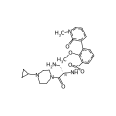 COc1c(-c2cccn(C)c2=O)cccc1S(=O)(=O)N[C@@H](CN)C(=O)N1CCN(C2CC2)CC1